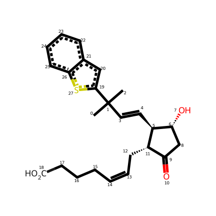 CC(C)(/C=C/[C@H]1[C@H](O)CC(=O)[C@@H]1C/C=C\CCCC(=O)O)c1cc2ccccc2s1